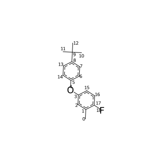 Cc1cc(Oc2ccc(C(C)(C)C)cc2)ccc1F